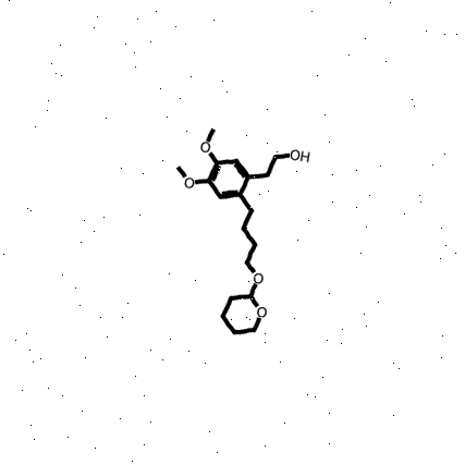 COc1cc(CCO)c(CCCCOC2CCCCO2)cc1OC